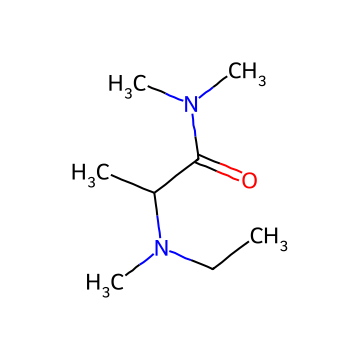 CCN(C)C(C)C(=O)N(C)C